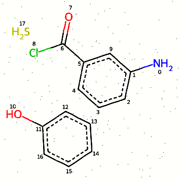 Nc1cccc(C(=O)Cl)c1.Oc1ccccc1.S